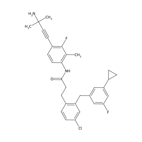 Cc1c(NC(=O)CCc2ccc(Cl)cc2Cc2cc(F)cc(C3CC3)c2)ccc(C#CC(C)(C)N)c1F